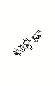 CC(=O)O[C@@H]1C[C@@]23COC[C@@](C)(C2CC[C@H]2C3=CC[C@@]3(C)[C@H](C(=O)O)[C@@](C)([C@H](C)C(C)C)CC[C@]23C)[C@H]1OCCN(C[C@@H](N)CO)C(=N)N